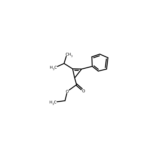 CCOC(=O)C1C(c2ccccc2)=C1C(C)C